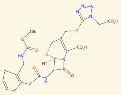 CC(C)(C)OC(=O)NCC1=C(CC(=O)NC2C(=O)N3C(C(=O)O)=C(CSc4nnnn4CC(=O)O)CS[C@H]23)CC=CC1